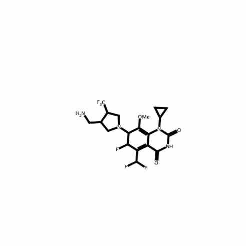 COC1=c2c(c(=O)[nH]c(=O)n2C2CC2)=C(C(F)F)C(F)C1N1CC(CN)C(C(F)(F)F)C1